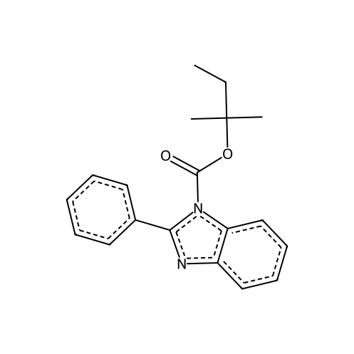 CCC(C)(C)OC(=O)n1c(-c2ccccc2)nc2ccccc21